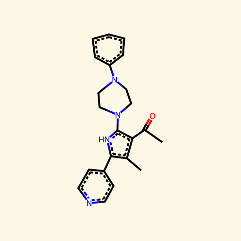 CC(=O)c1c(N2CCN(c3ccccc3)CC2)[nH]c(-c2ccncc2)c1C